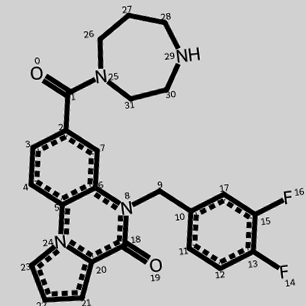 O=C(c1ccc2c(c1)n(Cc1ccc(F)c(F)c1)c(=O)c1cccn12)N1CCCNCC1